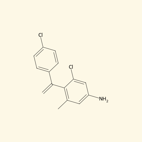 C=C(c1ccc(Cl)cc1)c1c(C)cc(N)cc1Cl